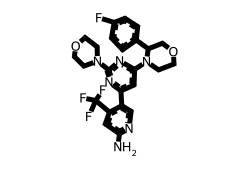 Nc1cc(C(F)(F)F)c(-c2cc(N3CCOCC3c3ccc(F)cc3)nc(N3CCOCC3)n2)cn1